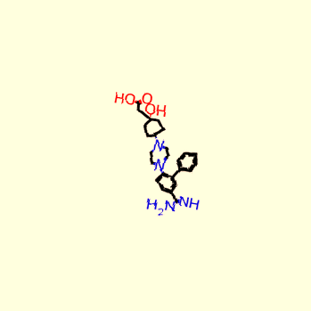 N=C(N)c1ccc(N2CCN([C@H]3CC[C@](O)(CC(=O)O)CC3)CC2)c(-c2ccccc2)c1